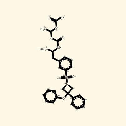 CC(OC(=O)NC(Cc1cccc(S(=O)(=O)N2CC(Oc3ccccc3)(c3ccccc3)C2)c1)C(=O)O)OC(=O)C(C)C